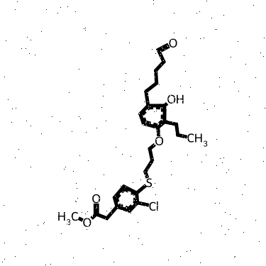 CCCc1c(OCCCSc2ccc(CC(=O)OC)cc2Cl)ccc(CCCCC=O)c1O